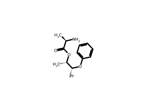 CC(C)[C@@H](Oc1ccccc1)[C@H](C)OC(=O)[C@@H](C)N